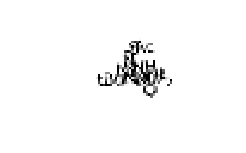 CC(=O)SC1CCN(c2nc(C(C)(C)C)nc(N(N)Cc3ccccc3Cl)c2N)C1